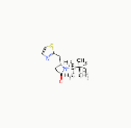 CC(C)(C)[Si](C)(C)N1C(=O)CC1Cc1nccs1